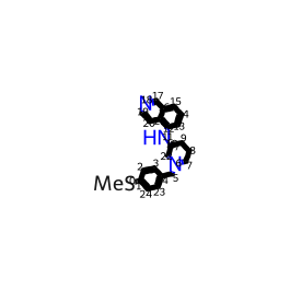 CSc1ccc(CN2CCC[C@H](Nc3cccc4cnccc34)C2)cc1